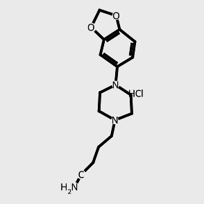 Cl.NCCCCN1CCN(c2ccc3c(c2)OCO3)CC1